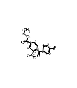 CCOC(=O)c1ccc(C(=O)c2ccc(F)cc2)c([N+](=O)[O-])c1